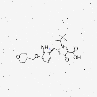 CC(n1cc(C(=O)O)c(=O)cc1/C=C1\C=CC=C(OCC2CCOCC2)C1=N)C(C)(C)C